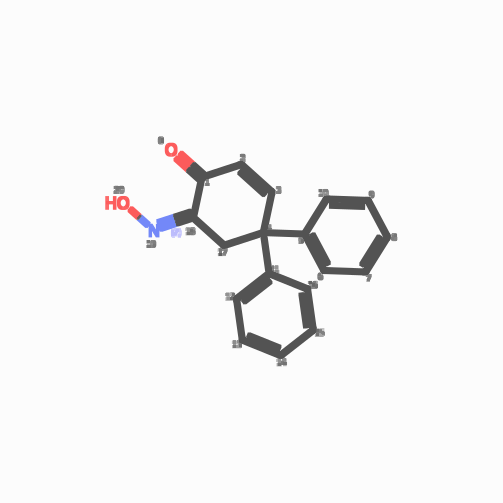 O=C1C=CC(c2ccccc2)(c2ccccc2)C/C1=N/O